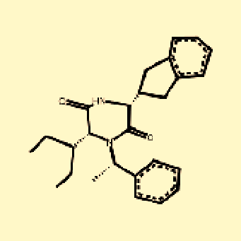 CCC(CC)[C@@H]1C(=O)N[C@H](C2Cc3ccccc3C2)C(=O)N1[C@@H](C)c1ccccc1